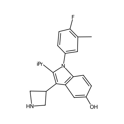 Cc1cc(-n2c(C(C)C)c(C3CNC3)c3cc(O)ccc32)ccc1F